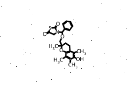 Cc1c(C)c2c(c(C)c1O)CCC(C)(COC(c1ccccc1)N1CC(=O)SC1=O)O2